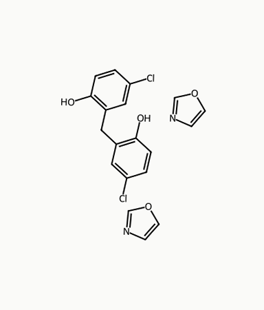 Oc1ccc(Cl)cc1Cc1cc(Cl)ccc1O.c1cocn1.c1cocn1